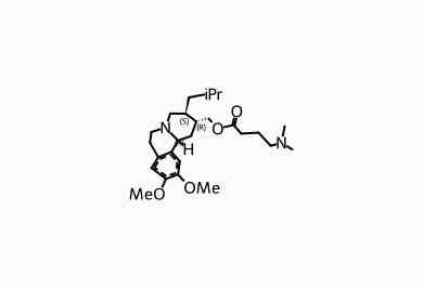 COc1cc2c(cc1OC)[C@H]1C[C@@H](COC(=O)CCCN(C)C)[C@H](CC(C)C)CN1CC2